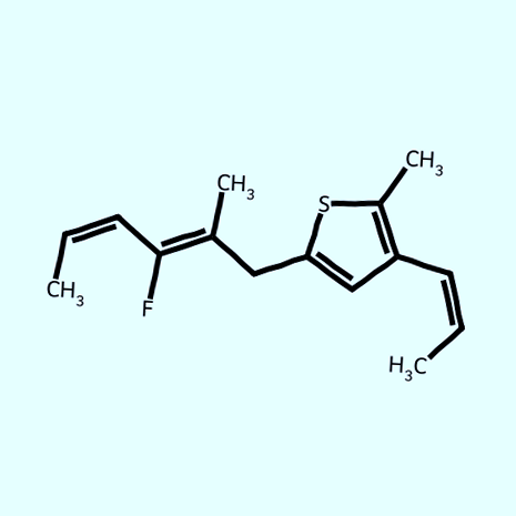 C/C=C\C(F)=C(/C)Cc1cc(/C=C\C)c(C)s1